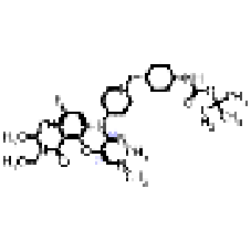 C=N/C=C(Oc1ccc(F)cc1C(=O)N(CC)C(C)C)\C(=N/C)NC1CCN(C[C@H]2CC[C@H](NC(=O)OC(C)(C)C)CC2)CC1